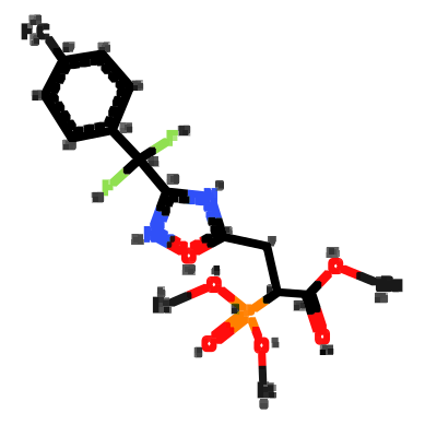 CCOP(=O)(OCC)C(Cc1nc(C(F)(F)c2ccc(C(F)(F)F)cc2)no1)C(=O)OC(C)(C)C